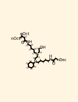 CCCCCCCCCCCC(=O)NCCCCCN(CCN(CCO)CCCCCNC(=O)CC(CCCCCCCC)CCCCCCCC)C1CCCCC1